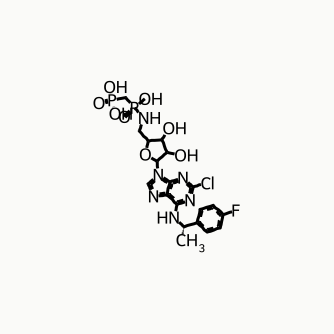 C[C@H](Nc1nc(Cl)nc2c1ncn2C1OC(CNP(=O)(O)CP(=O)(O)O)C(O)C1O)c1ccc(F)cc1